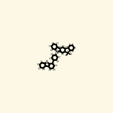 CC1(C)c2ccccc2-c2cc3c4ccccc4n(-c4ccc(-c5cccc6c5sc5ccccc56)cc4)c3cc21